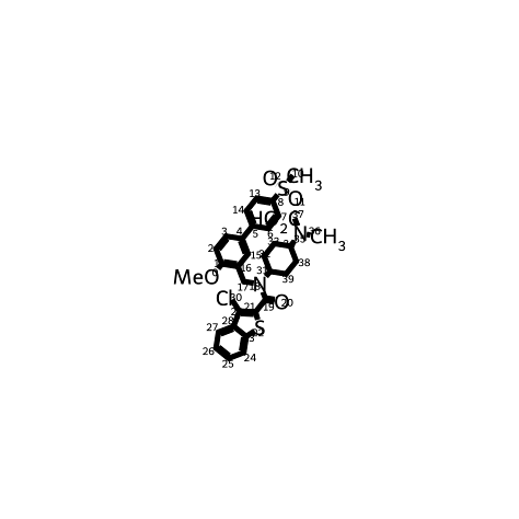 COc1ccc(-c2ccc(S(C)(=O)=O)cc2)cc1CN(C(=O)c1sc2ccccc2c1Cl)C1CCC(N(C)C(=O)O)CC1